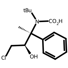 CC(C)(C)N(C(=O)O)[C@@](C)(c1ccccc1)[C@@H](O)CCl